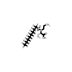 CCCN([C@@H](C)C(=O)O)S(=O)(=O)C(F)(F)C(F)(F)C(F)(F)C(F)(F)C(F)(F)C(F)(F)C(F)(F)C(F)(F)F